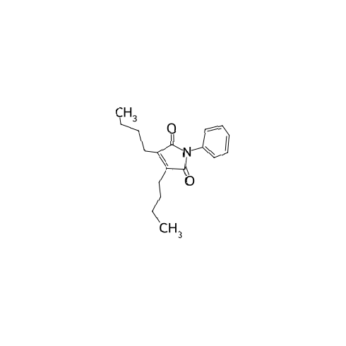 CCCCC1=C(CCCC)C(=O)N(c2ccccc2)C1=O